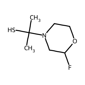 CC(C)(S)N1CCOC(F)C1